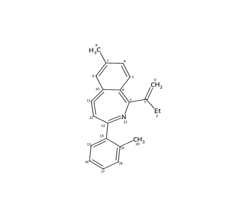 C=C(CC)C1=c2ccc(C)cc2=C=CC(c2ccccc2C)=N1